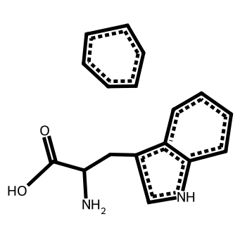 NC(Cc1c[nH]c2ccccc12)C(=O)O.c1ccccc1